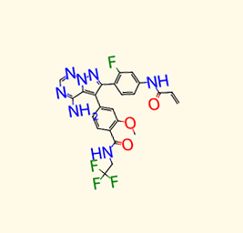 C=CC(=O)Nc1ccc(-c2nn3ncnc(N)c3c2-c2ccc(C(=O)NCC(F)(F)F)c(OC)c2)c(F)c1